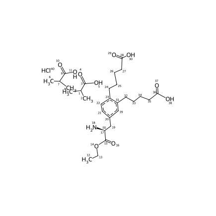 CC(C)C(=O)O.CC(C)C(=O)O.CCOC(=O)[C@@H](N)Cc1ccc(CCCCC(=O)O)c(CCCCC(=O)O)c1.Cl